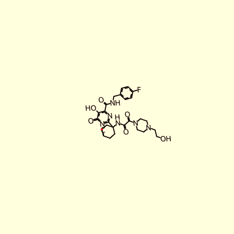 O=C(NC12CCC(CC1)Cn1c2nc(C(=O)NCc2ccc(F)cc2)c(O)c1=O)C(=O)N1CCN(CCO)CC1